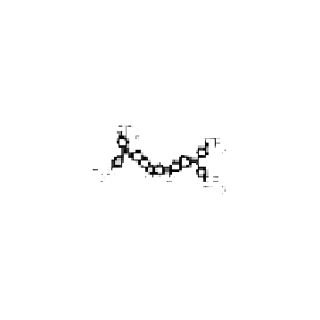 FC(F)(F)c1ccc(N(c2ccc(C(F)(F)F)cc2)c2ccc3cc4c(cc3c2)oc2cc3oc5cc6cc(N(c7ccc(C(F)(F)F)cc7)c7ccc(C(F)(F)F)cc7)ccc6cc5c3cc24)cc1